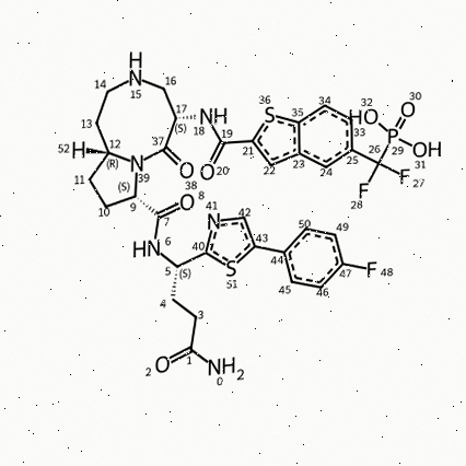 NC(=O)CC[C@H](NC(=O)[C@@H]1CC[C@@H]2CCNC[C@H](NC(=O)c3cc4cc(C(F)(F)P(=O)(O)O)ccc4s3)C(=O)N21)c1ncc(-c2ccc(F)cc2)s1